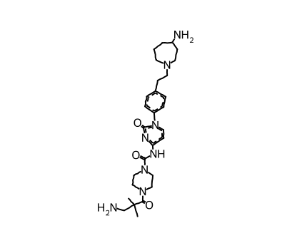 CC(C)(CN)C(=O)N1CCN(C(=O)Nc2ccn(-c3ccc(CCN4CCCC(N)CC4)cc3)c(=O)n2)CC1